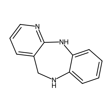 c1cnc2c(c1)CNc1ccccc1N2